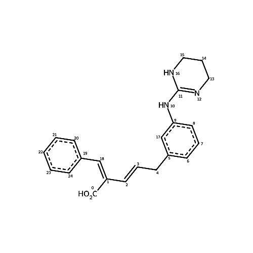 O=C(O)C(C=CCc1cccc(NC2=NCCCN2)c1)=Cc1ccccc1